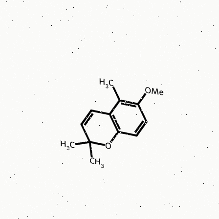 COc1ccc2c(c1C)C=CC(C)(C)O2